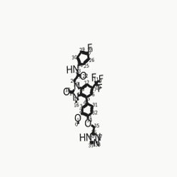 COc1cc(-c2cc(C(F)(F)F)cc3c2n(C)c(=O)n3CC(=O)Nc2ccc(F)cc2)ccc1OCc1nnc[nH]1